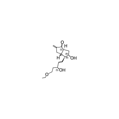 C=C1C[C@H]2[C@H](C=C[C@@H](O)CCOCC)[C@H](O)C[C@@H]2C1=O